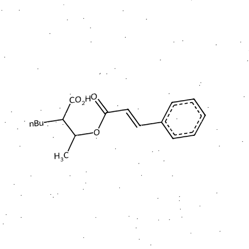 CCCCC(C(=O)O)C(C)OC(=O)C=Cc1ccccc1